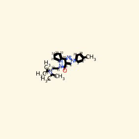 Cc1ccc(-n2cc(C(=O)NCCN(C(C)C)C(C)C)c(-c3ccccc3)n2)cc1